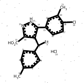 CCC(c1ccc(C)cc1)c1c(C(=O)O)n[nH]c1-c1ccc(Cl)c(C)c1.Cl